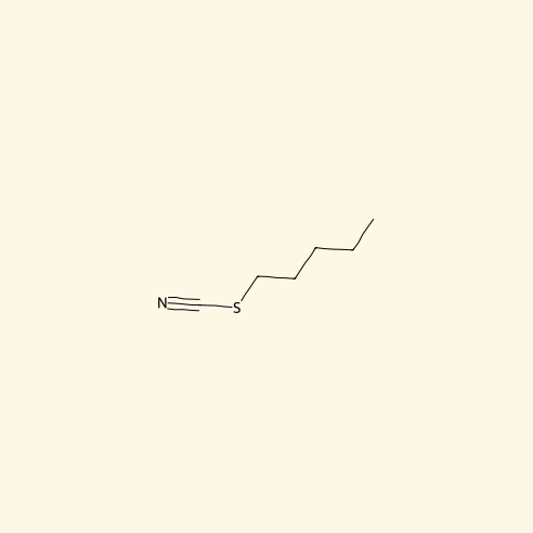 CCCCCSC#N